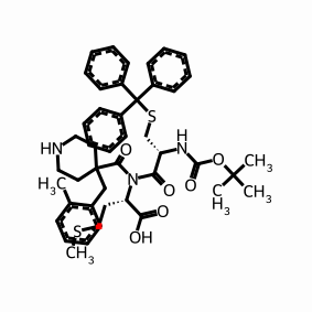 CSCC[C@@H](C(=O)O)N(C(=O)[C@H](CSC(c1ccccc1)(c1ccccc1)c1ccccc1)NC(=O)OC(C)(C)C)C(=O)C1(Cc2ccccc2C)CCNCC1